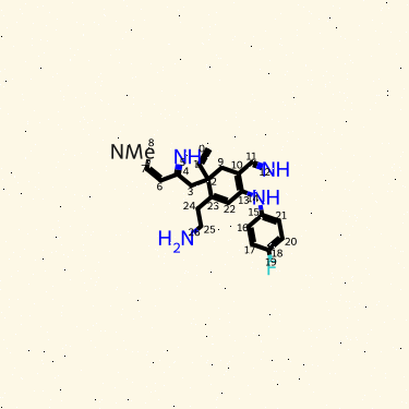 C=CC1(CC(=N)/C=C\NC)CC(C=N)=C(Nc2ccc(F)cc2)C=C1CCN